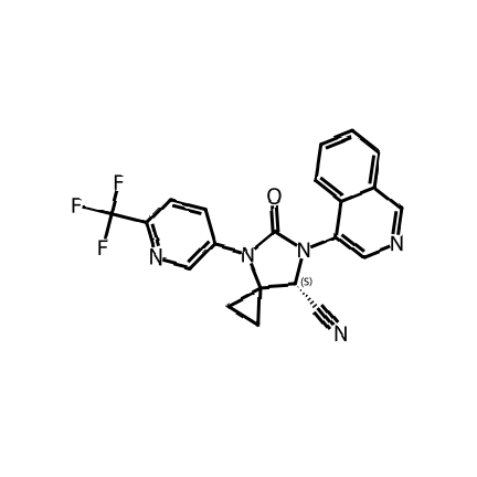 N#C[C@H]1N(c2cncc3ccccc23)C(=O)N(c2ccc(C(F)(F)F)nc2)C12CC2